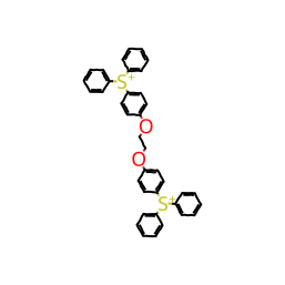 c1ccc([S+](c2ccccc2)c2ccc(OCCOc3ccc([S+](c4ccccc4)c4ccccc4)cc3)cc2)cc1